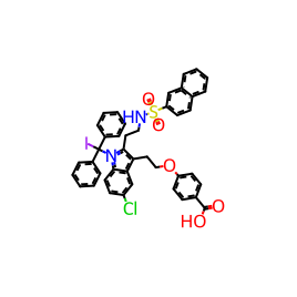 O=C(O)c1ccc(OCCc2c(CCNS(=O)(=O)c3ccc4ccccc4c3)n(C(I)(c3ccccc3)c3ccccc3)c3ccc(Cl)cc23)cc1